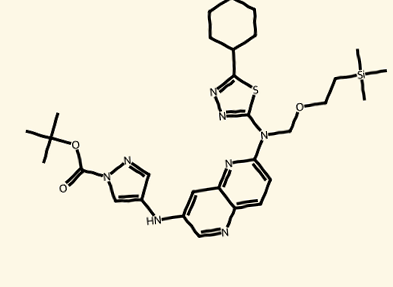 CC(C)(C)OC(=O)n1cc(Nc2cnc3ccc(N(COCC[Si](C)(C)C)c4nnc(C5CCCCC5)s4)nc3c2)cn1